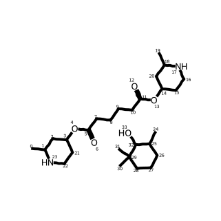 CC1CC(OC(=O)CCCCC(=O)OC2CCNC(C)C2)CCN1.CC1CCCC(C)(C)C1O